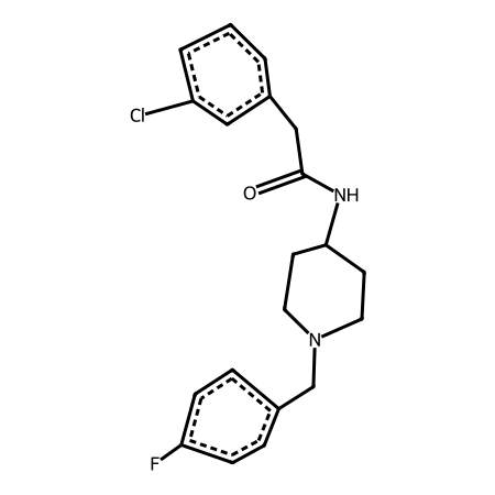 O=C(Cc1cccc(Cl)c1)NC1CCN(Cc2ccc(F)cc2)CC1